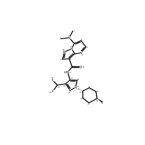 CN(C)c1ccnc2c(C(=O)Nc3cn([C@H]4CC[C@H](C)CC4)nc3C(F)F)cnn12